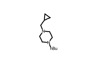 CCCCN1CCN(CC2CC2)CC1